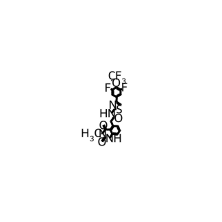 Cn1c(=O)[nH]c2cccc(CC(=O)Nc3nc(-c4cc(F)c(OCC(F)(F)F)c(F)c4)cs3)c2c1=O